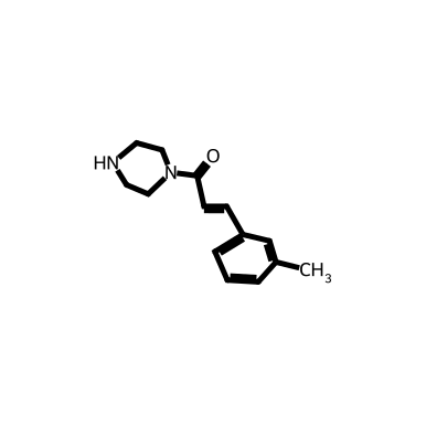 Cc1cccc(/C=C/C(=O)N2CCNCC2)c1